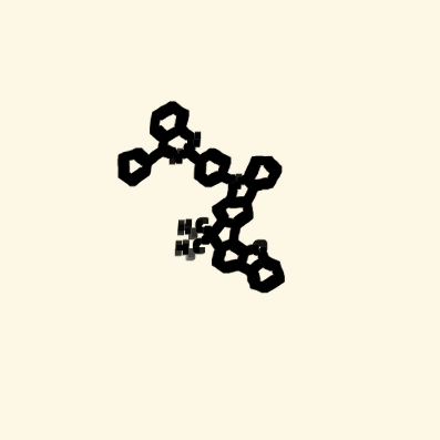 CC1(C)c2cc3c(cc2-c2c1ccc1c2oc2ccccc21)c1ccccc1n3-c1ccc(-c2nc(-c3ccccc3)c3ccccc3n2)cc1